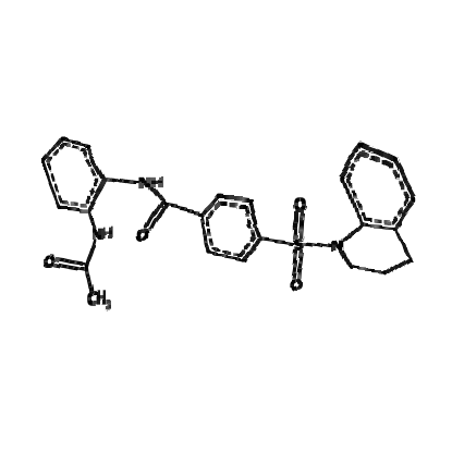 CC(=O)Nc1ccccc1NC(=O)c1ccc(S(=O)(=O)N2CCCc3ccccc32)cc1